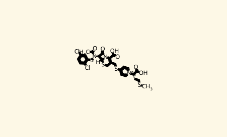 CSCC[C@@H](C(=O)O)[n+]1ccc(SCC2=C(C(=O)O)N3C(=O)[C@H](N(Sc4cc(Cl)ccc4Cl)C(C)=O)[C@H]3SC2)cc1